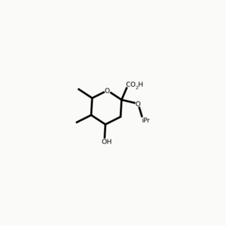 CC(C)OC1(C(=O)O)CC(O)C(C)C(C)O1